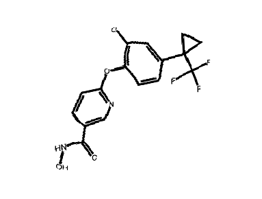 O=C(NO)c1ccc(Oc2ccc(C3(C(F)(F)F)CC3)cc2Cl)nc1